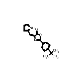 CC(C)(C)c1ccc(C2=NC(=Cc3ccc[nH]3)C(=O)O2)cc1